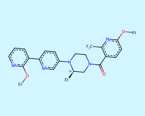 CCOc1ccc(C(=O)N2CCN(c3ccc(-c4cccnc4OCC)nc3)[C@H](CC)C2)c(C(F)(F)F)n1